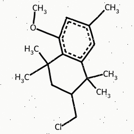 COc1cc(C)cc2c1C(C)(C)CC(CCl)C2(C)C